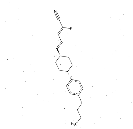 CCCCc1ccc([C@H]2CC[C@H](C=CC=C(F)C#N)CC2)cc1